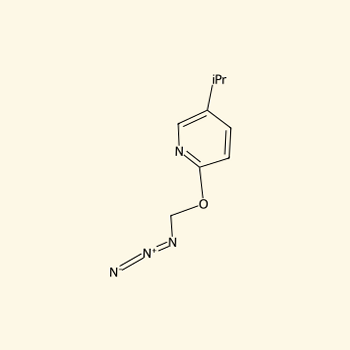 CC(C)c1ccc(OCN=[N+]=[N-])nc1